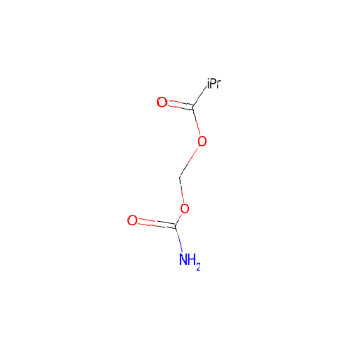 CC(C)C(=O)OCOC(N)=O